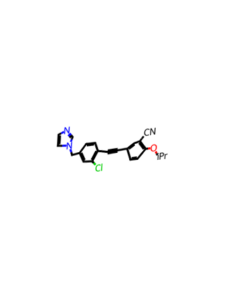 CC(C)Oc1ccc(C#Cc2ccc(Cn3ccnc3)cc2Cl)cc1C#N